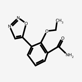 CCOc1c(C(N)=O)cccc1-c1cnno1